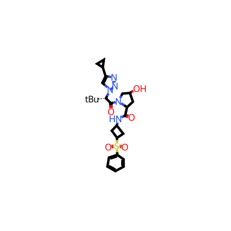 CC(C)(C)[C@@H](C(=O)N1CC(O)CC1C(=O)NC1CC(S(=O)(=O)c2ccccc2)C1)n1cc(C2CC2)nn1